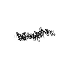 COc1cc(-c2cc(=O)c3cc(Br)c(C(C)(C)OCCC(C)(C)OCC(=O)NC(C(=O)Nc4cccc5c4C(=O)N(C4CCC(=O)NC4=O)C5=O)C(C)(C)C)c(Br)c3o2)ncc1O